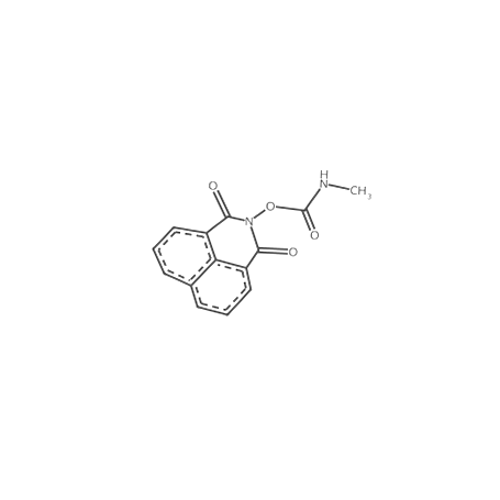 CNC(=O)ON1C(=O)c2cccc3cccc(c23)C1=O